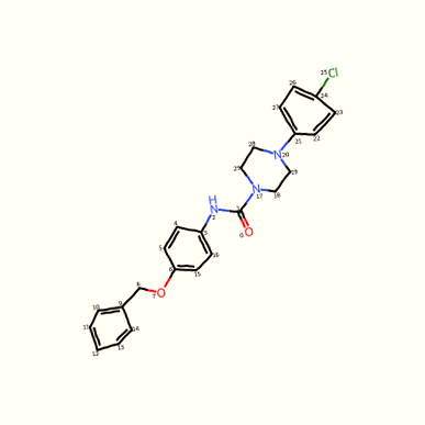 O=C(Nc1ccc(OCc2ccccc2)cc1)N1CCN(c2ccc(Cl)cc2)CC1